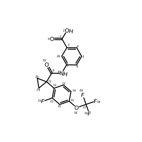 O=C(O)c1cccc(NC(=O)C2(c3ccc(OC(F)(F)F)cc3F)CC2)c1